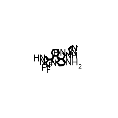 Cn1ccc(NC(=N)c2c(N)ccc3nc(-c4c[nH]nc4C(F)(F)F)c4c(c23)CCCC4)n1